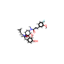 COc1cc(/C=C/C(=O)N(C)C2CC[C@@]3(O)[C@H]4Cc5ccc(O)c6c5[C@@]3(CCN4CC3CC3)C2O6)ccc1F